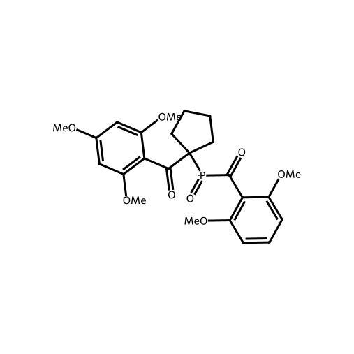 COc1cc(OC)c(C(=O)C2([P](=O)C(=O)c3c(OC)cccc3OC)CCCC2)c(OC)c1